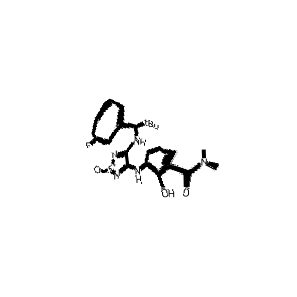 CN(C)C(=O)c1cccc(Nc2n[s+]([O-])nc2NC(c2cccc(F)c2)C(C)(C)C)c1O